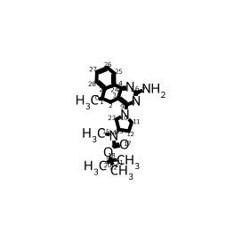 CC1Cc2c(nc(N)nc2N2CCC(N(C)C(=O)OC(C)(C)C)C2)-c2ccccc21